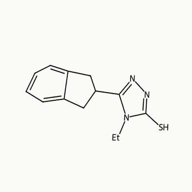 CCn1c(S)nnc1C1Cc2ccccc2C1